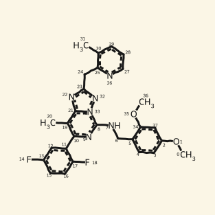 COc1ccc(CNc2nc(-c3cc(F)ccc3F)c(C)c3nc(Cc4ncccc4C)nn23)c(OC)c1